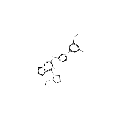 COc1cc(C)cc(-n2cnc(Nc3nc(N4CCC[C@H]4CO)c4cccn4n3)c2)c1